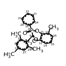 Cc1cc(C)c(C(=O)P(=O)(Oc2c(C)cccc2C)c2ccccc2)c(C)c1